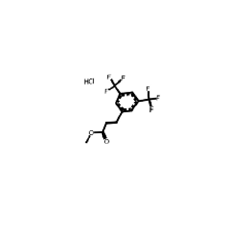 COC(=O)CCc1cc(C(F)(F)F)cc(C(F)(F)F)c1.Cl